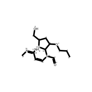 CCCOC1CC(CO)OC1N(C=O)/C=C\C(N)=N/C